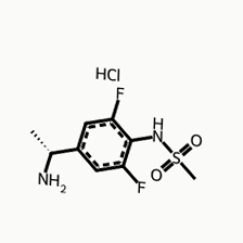 C[C@@H](N)c1cc(F)c(NS(C)(=O)=O)c(F)c1.Cl